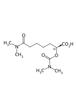 CN(C)C(=O)CCCC[C@H](OC(=O)N(C)C)C(=O)O